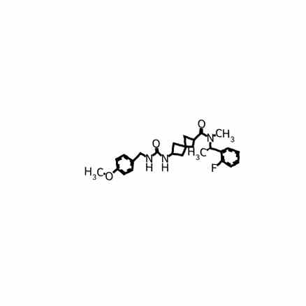 COc1ccc(CNC(=O)NC2CC3(C2)CC(C(=O)N(C)[C@H](C)c2ccccc2F)C3)cc1